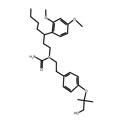 CCCCC(CCN(CCc1ccc(OC(C)(C)CO)cc1)C(N)=O)c1ccc(OC)cc1OC